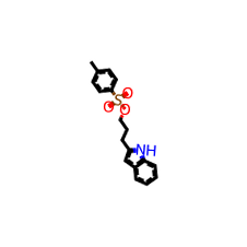 Cc1ccc(S(=O)(=O)OCCCc2cc3ccccc3[nH]2)cc1